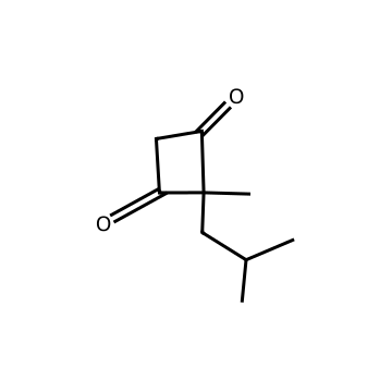 CC(C)CC1(C)C(=O)CC1=O